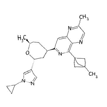 Cc1cnc2c(C34CC(C)(C3)C4)nc([C@@H]3C[C@H](C)O[C@@H](c4cnn(C5CC5)c4)C3)cc2n1